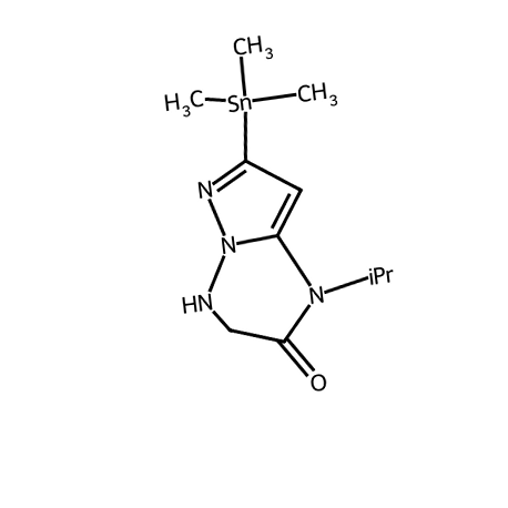 CC(C)N1C(=O)CNn2n[c]([Sn]([CH3])([CH3])[CH3])cc21